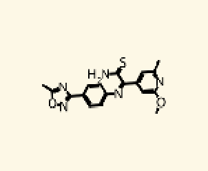 COc1cc(C(=Nc2ccc(-c3noc(C)n3)cc2)C(N)=S)cc(C)n1